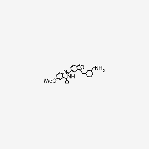 COc1ccc2nc(-c3ccc4coc(CC5CCCC(CN)C5)c4c3)[nH]c(=O)c2c1